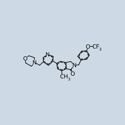 Cc1cc(-c2cncc(CN3CCOCC3)c2)cc2c1C(=O)N(Cc1ccc(OC(F)(F)F)cc1)C2